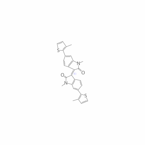 Cc1ccsc1-c1ccc2c(c1)N(C)C(=O)/C2=C1/C(=O)N(C)c2cc(-c3sccc3C)ccc21